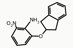 Nc1c(OC2Cc3ccccc3C2)cccc1[N+](=O)[O-]